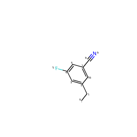 [CH2]Cc1cc(F)cc(C#N)c1